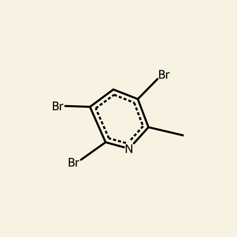 Cc1nc(Br)c(Br)cc1Br